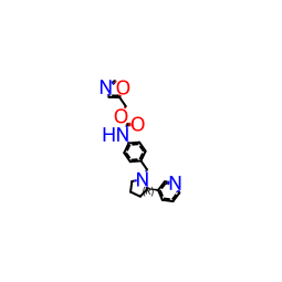 O=C(Nc1ccc(CN2CCC[C@@H]2c2cccnc2)cc1)OCc1cnco1